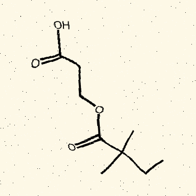 CCC(C)(C)C(=O)OCCC(=O)O